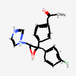 COC(=O)c1ccc(C2(c3ccc(Cl)cc3)OC2n2ccnc2)cc1